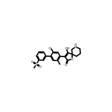 Cc1cc(-c2cccc(S(C)(=O)=O)c2)c(Cl)cc1C1=C(O)C2(CCCNC2)OC1=O